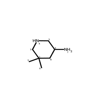 CC1(C)CNCC(N)C1